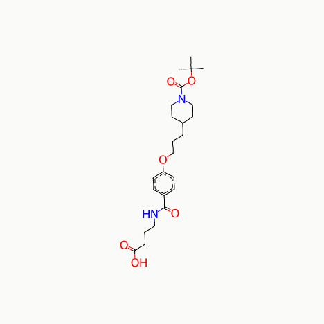 CC(C)(C)OC(=O)N1CCC(CCCOc2ccc(C(=O)NCCCC(=O)O)cc2)CC1